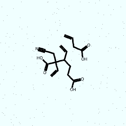 C=CC(CCC(=O)O)C(C=C)(CC#N)C(=O)O.C=CCC(=O)O